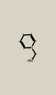 CCCCCN1C=CCC=C1